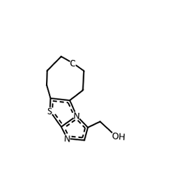 OCc1cnc2sc3c(n12)CCCCCC3